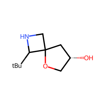 CC(C)(C)C1NCC12C[C@H](O)CO2